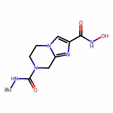 CCC(C)NC(=O)N1CCn2cc(C(=O)NO)nc2C1